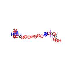 Cc1cc(CC(=O)O)cc(I)c1Oc1cc(I)c(OCc2cn(CCOCCOCCOCCOCCOCCOCCOc3ccc(CN/C(=N/C(=O)OC(C)(C)C)NC(=O)OC(C)(C)C)cc3)nn2)c(I)c1